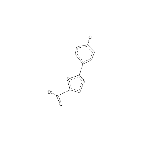 CCC(=O)c1cnc(-c2ccc(Cl)cc2)s1